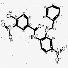 O=C(Nc1ccc([N+](=O)[O-])cc1OCc1ccccc1)c1ccc(Cl)c([N+](=O)[O-])c1